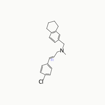 CN(C/C=C/c1ccc(Cl)cc1)Cc1ccc2c(c1)CCCC2